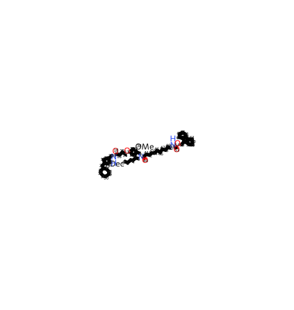 CCCCCCCCCCCCCCCCN(Cc1ccc(OCCCC(=O)NCc2ccc(CC3CCCCCCC3)cc2)cc1OC)C(=O)CCCCCCCCCCNC(=O)OCC1c2ccccc2-c2ccccc21